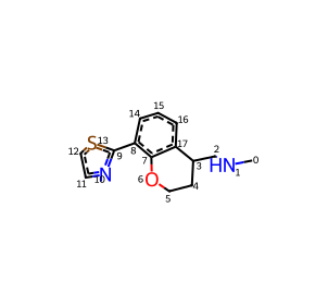 CNCC1CCOc2c(-c3nccs3)cccc21